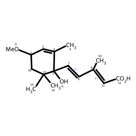 COC1C=C(C)C(O)(/C=C/C(C)=C/C(=O)O)C(C)(C)C1